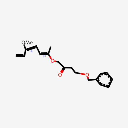 C=C/C(=C\C=C(/C)OCC(=O)CCOCc1ccccc1)OC